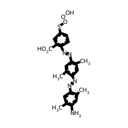 Cc1cc(N=Nc2cc(C)c(N=Nc3ccc(SOOO)cc3C(=O)O)cc2C)c(C)cc1N